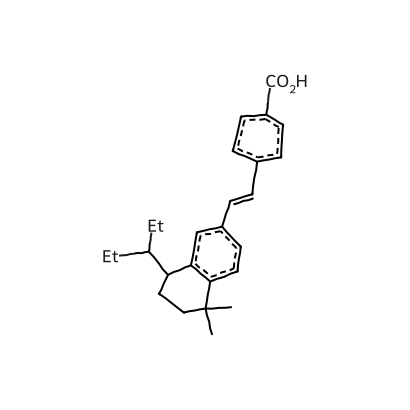 CCC(CC)C1CCC(C)(C)c2ccc(C=Cc3ccc(C(=O)O)cc3)cc21